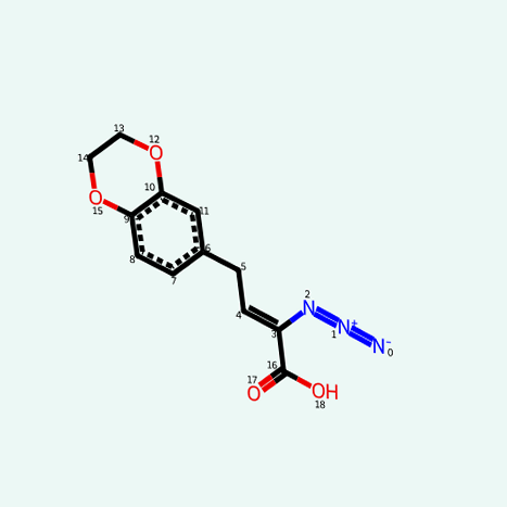 [N-]=[N+]=NC(=CCc1ccc2c(c1)OCCO2)C(=O)O